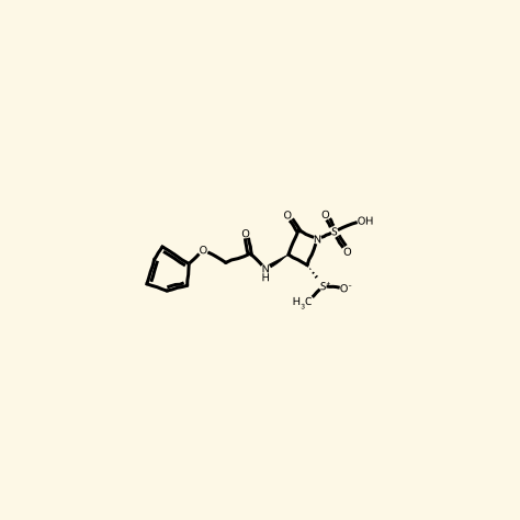 C[S+]([O-])[C@@H]1[C@@H](NC(=O)COc2ccccc2)C(=O)N1S(=O)(=O)O